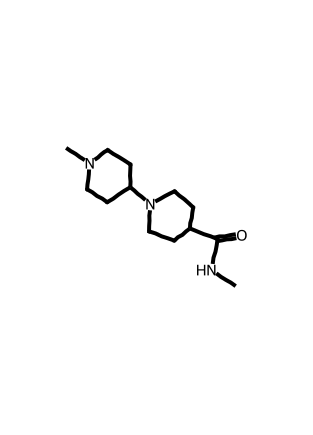 CNC(=O)C1CCN(C2CCN(C)CC2)CC1